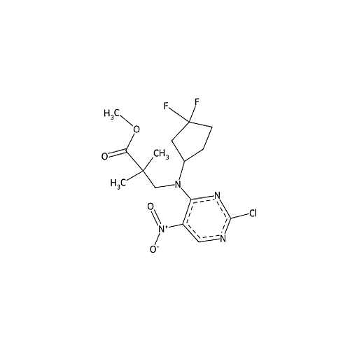 COC(=O)C(C)(C)CN(c1nc(Cl)ncc1[N+](=O)[O-])C1CCC(F)(F)C1